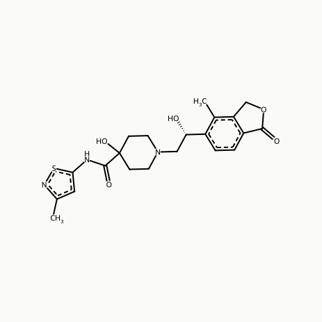 Cc1cc(NC(=O)C2(O)CCN(C[C@H](O)c3ccc4c(c3C)COC4=O)CC2)sn1